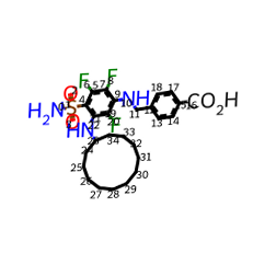 NS(=O)(=O)c1c(F)c(F)c(NCc2ccc(C(=O)O)cc2)c(F)c1NC1CCCCCCCCCCC1